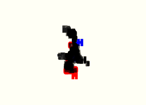 CCc1ccc(CCNC(=O)Cc2cccc(C[C@@H](C)NC[C@H](O[Si](C)(C)C(C)(C)C)c3ccc(O)c(CO)c3)c2)cc1